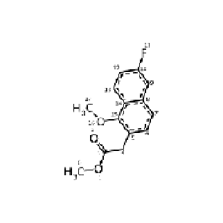 COC(=O)Cc1ccc2cc(F)ccc2c1OC